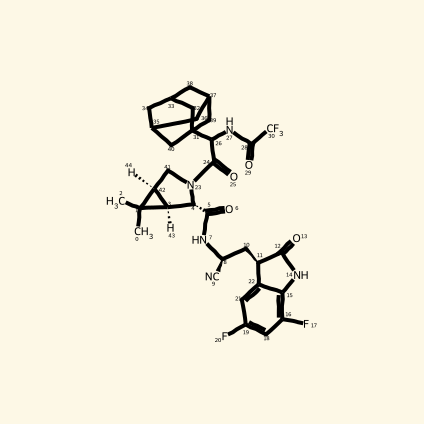 CC1(C)[C@@H]2[C@@H](C(=O)N[C@H](C#N)C[C@H]3C(=O)Nc4c(F)cc(F)cc43)N(C(=O)C(NC(=O)C(F)(F)F)C34CC5CC(CC(C5)C3)C4)C[C@@H]21